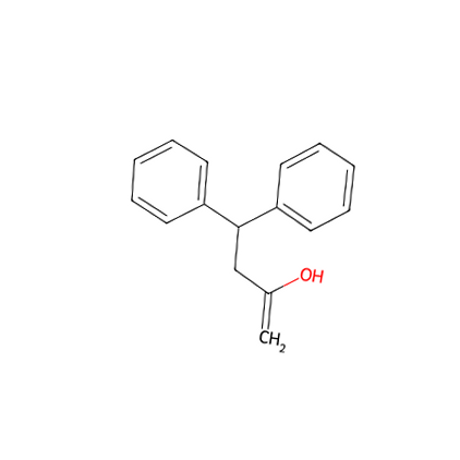 C=C(O)CC(c1ccccc1)c1ccccc1